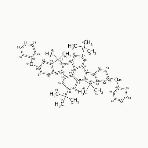 CC(C)(C)c1cc2c3c(c4cc(C(C)(C)C)cc5c6c(c(c1)c2c54)C(C)(C)c1cc(Oc2ccccc2)ccc1-6)C(C)(C)c1cc(Oc2ccccc2)ccc1-3